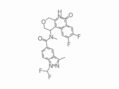 Cc1nn(C(F)F)c2ccc(C(=O)N(C)C3COCc4[nH]c(=O)c5cc(F)c(F)cc5c43)cc12